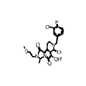 COCCN1C(=O)c2c3c(c(O)c(=O)n2C1C)C(=O)N(Cc1ccc(F)c(Cl)c1)CC3